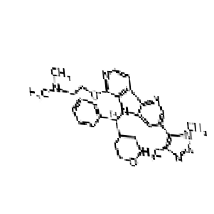 Cc1nnn(C)c1-c1cnc2c3ccnc(OCCN(C)C)c3n([C@H](c3ccccc3)C3CCOCC3)c2c1